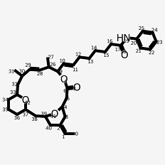 C/C=C1\CC2CC(=O)OC(/C=C/CCCCCC(=O)Nc3ccccc3)C(C)/C=C/C(C)CC3CCCC(CC(C1)O2)O3